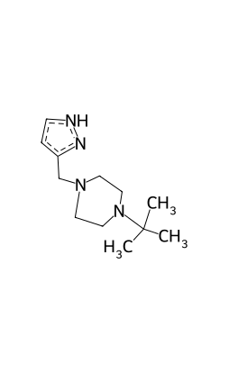 CC(C)(C)N1CCN(Cc2cc[nH]n2)CC1